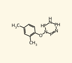 Cc1ccc(On2pn[pH][nH][pH]2)c(C)c1